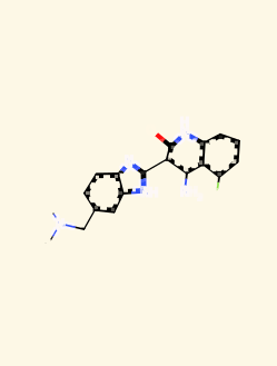 CC(C)N(Cc1ccc2nc(-c3c(N)c4c(F)cccc4[nH]c3=O)[nH]c2c1)C(C)C